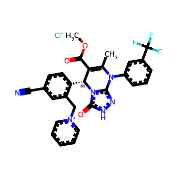 COC(=O)C1=C(C)N(c2cccc(C(F)(F)F)c2)c2n[nH]c(=O)n2[C@@H]1c1ccc(C#N)cc1C[n+]1ccccc1.[Cl-]